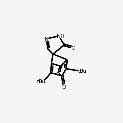 CC(C)(C)C1=C2C(=O)C(=C(C(C)(C)C)C1=O)C21C=NNC1=O